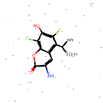 CCCC(C(=O)O)c1c(F)c(O)c(F)c2oc(=O)c(N)cc12